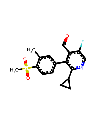 Cc1cc(-c2c(C3CC3)ncc(F)c2C=O)ccc1S(C)(=O)=O